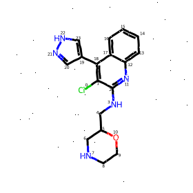 Clc1c(NCC2CNCCO2)nc2ccccc2c1-c1cn[nH]c1